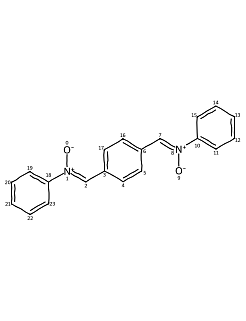 [O-][N+](=Cc1ccc(C=[N+]([O-])c2ccccc2)cc1)c1ccccc1